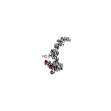 CC(C)C[C@H](NC(=O)[C@H](Cc1ccccc1)NC(=O)[C@H](CCC(=O)O)NC(=O)[C@@H]1CCCN1C(=O)[C@H](C)NC(=O)[C@@H]1CCCN1C(=O)[C@H](CS)NC(=O)[C@@H]1CCCN1C(=O)[C@@H]1CCCN1C(=O)[C@@H](N)CS)C(=O)NCC(=O)NCC(=O)N1CCC[C@H]1C(=O)N[C@@H](CO)C(=O)N[C@H](C(=O)N[C@@H](Cc1ccccc1)C(=O)N[C@@H](CC(C)C)C(=O)N[C@@H](Cc1ccccc1)C(=O)N1CCC[C@H]1C(=O)N1CCC[C@H]1C(=O)O)C(C)C